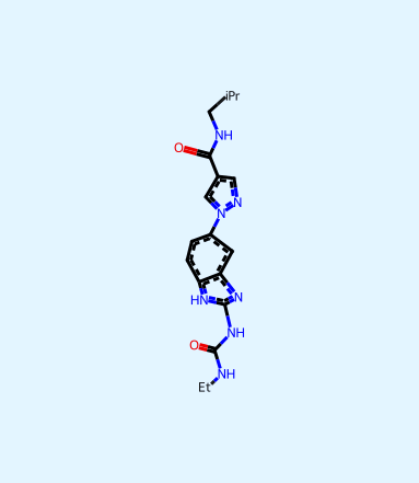 CCNC(=O)Nc1nc2cc(-n3cc(C(=O)NCC(C)C)cn3)ccc2[nH]1